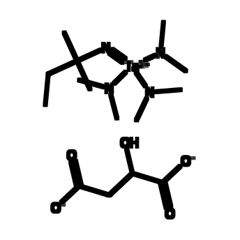 CCC(C)(C)[N]=[Ta+2]([N](C)C)([N](C)C)[N](C)C.O=C([O-])CC(O)C(=O)[O-]